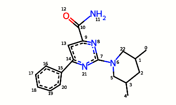 CC1CC(C)CN(c2nc(C(N)=O)cc(-c3ccccc3)n2)C1